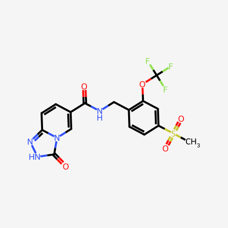 CS(=O)(=O)c1ccc(CNC(=O)c2ccc3n[nH]c(=O)n3c2)c(OC(F)(F)F)c1